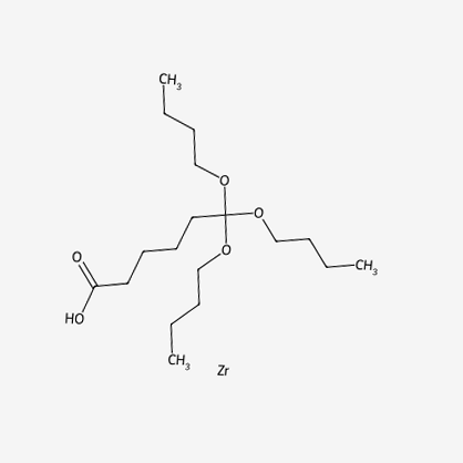 CCCCOC(CCCCC(=O)O)(OCCCC)OCCCC.[Zr]